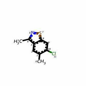 Cc1cc2c(C)nsc2cc1Cl